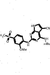 CC[C@@H](C)Nc1nc(Nc2ccc(S(C)(=O)=O)cc2OC)nc2[nH]cc(C#N)c12